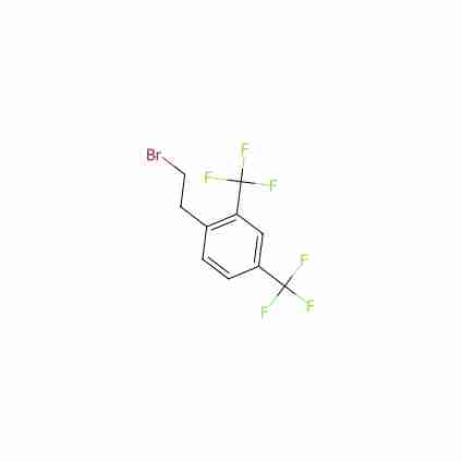 FC(F)(F)c1ccc(CCBr)c(C(F)(F)F)c1